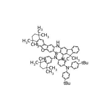 CC(C)(C)c1ccc(N(c2ccc(C(C)(C)C)cc2)c2ccc3c(c2)-c2c4c(cc5c2C(C)(C)c2ccccc2-5)Nc2cc5c(cc2B4N3c2ccc3c(c2)C(C)(C)CCC3(C)C)oc2cc3c(cc25)C(C)(C)CCC3(C)C)cc1